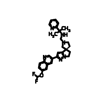 CC(C)(NCN1CC[C@@]2(CCn3nc(-c4cnc5ccc(OC(F)F)cc5c4)cc32)C1)c1ccccn1